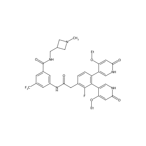 CCOc1cc(=O)[nH]cc1-c1ccc(CC(=O)Nc2cc(C(=O)NCC3CN(C)C3)cc(C(F)(F)F)c2)c(F)c1-c1c[nH]c(=O)cc1OCC